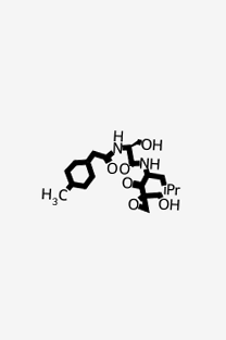 CC(C)CC(NC(=O)[C@H](CO)NC(=O)CC1CCC(C)CC1)C(=O)C1(CO)CO1